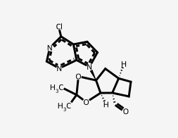 CC1(C)O[C@@H]2[C@]3(C=O)CC[C@@H]3C[C@@]2(n2ccc3c(Cl)ncnc32)O1